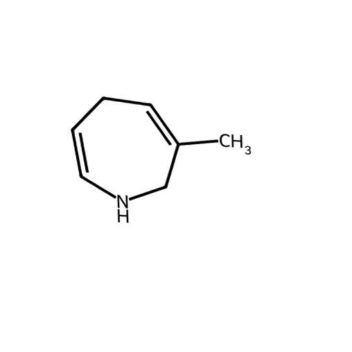 CC1=CCC=CNC1